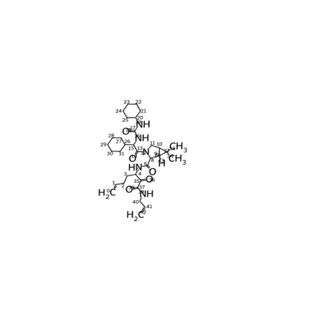 C=CCCC(NC(=O)C1[C@@H]2C(CN1C(=O)C(NC(=O)NC1CCCCC1)C1CCCCC1)C2(C)C)C(=O)C(=O)NCC=C